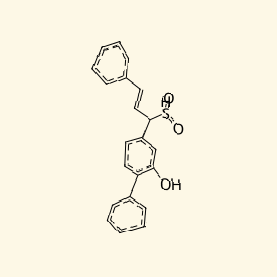 O=[SH](=O)C(C=Cc1ccccc1)c1ccc(-c2ccccc2)c(O)c1